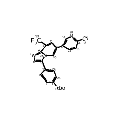 CC(C)(C)c1ccc(-c2cnc3c(C(F)(F)F)cc(-c4ccc(C#N)nc4)cn23)cc1